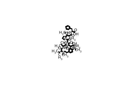 CC[C@H](C)[C@@H]([C@@H](CC(=O)N1CCC[C@H]1[C@H](OC)[C@@H](C)C(=O)N[C@@H](Cc1ccccc1)C(=O)O)OC)N(C)C(=O)[C@@H](NC(=O)[C@H](C(C)C)N(C)CCc1ccc(NC)cc1)C(C)C